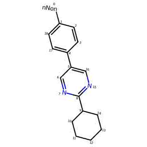 CCCCCCCCCc1ccc(-c2cnc(C3CCCCC3)nc2)cc1